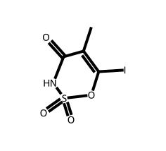 CC1=C(I)OS(=O)(=O)NC1=O